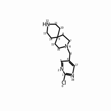 Clc1ncc(CN2CCC3(CCNCC3)CC2)cn1